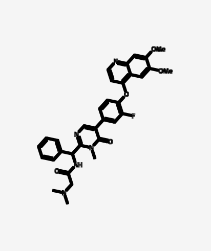 COc1cc2nccc(Oc3ccc(-c4cnc(C(NC(=O)CN(C)C)c5ccccc5)n(C)c4=O)cc3F)c2cc1OC